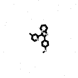 COc1ccc(-c2nc3ccccn3c2-c2cc(C)ccn2)cc1